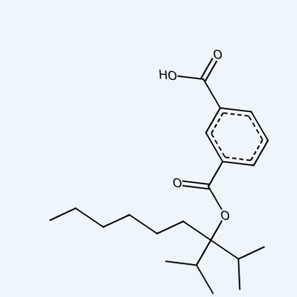 CCCCCCC(OC(=O)c1cccc(C(=O)O)c1)(C(C)C)C(C)C